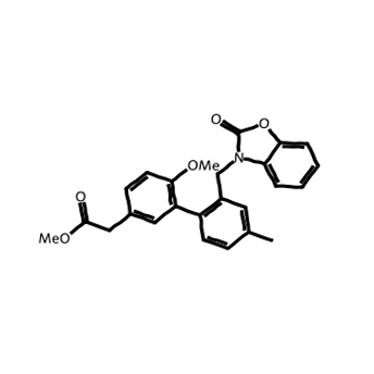 COC(=O)Cc1ccc(OC)c(-c2ccc(C)cc2Cn2c(=O)oc3ccccc32)c1